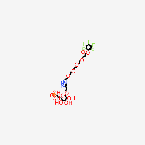 O=C(CCOCCOCCOCCOCCn1cc(CCO[C@H]2O[C@H](CCP(=O)(O)O)[C@@H](O)[C@H](O)[C@@H]2O)nn1)Oc1c(F)c(F)c(F)c(F)c1F